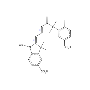 C=C(/C=C/C=C1/N(CCCC)c2ccc(S(=O)(=O)O)cc2C1(C)C)C(C)(C)c1cc(S(=O)(=O)O)ccc1C